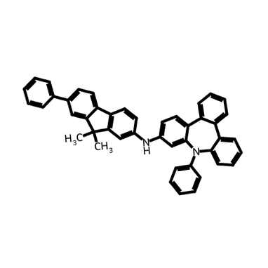 CC1(C)c2cc(Nc3ccc4c(c3)N(c3ccccc3)c3ccccc3-c3ccccc3-4)ccc2-c2ccc(-c3ccccc3)cc21